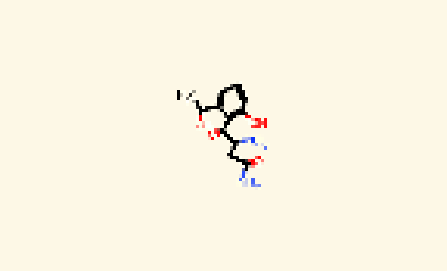 CC(O)c1cccc(O)c1C(=O)C(N)CC(N)=O